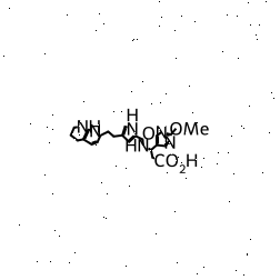 COc1ncc(C(CC(=O)O)NC(=O)c2cc(CCc3ccc4c(n3)NCCC4)c[nH]2)cn1